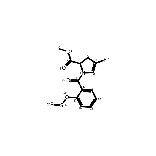 COC(=O)C1CC(F)=CN1C(=O)c1ccccc1OSF